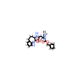 CC(C)(CC(=O)NC1CCCc2ccccc2NC1=O)NC(=O)OCc1ccccc1